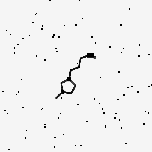 CN1CCN(CCCN)C1